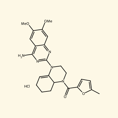 COc1cc2nc(N3CCN(C(=O)c4ccc(C)o4)C4CCCC=C43)nc(N)c2cc1OC.Cl